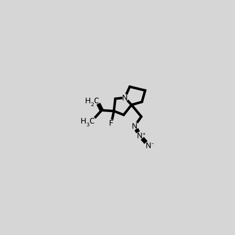 C=C(C)C1(F)CN2CCCC2(CN=[N+]=[N-])C1